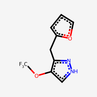 FC(F)(F)Oc1c[nH]nc1Cc1ccco1